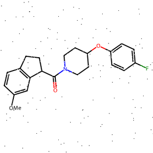 COc1ccc2c(c1)C(C(=O)N1CCC(Oc3ccc(F)cc3)CC1)CC2